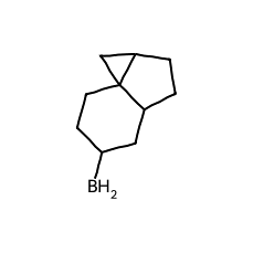 BC1CCC23CC2CCC3C1